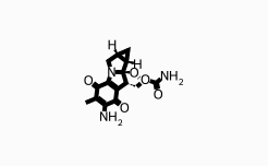 CO[C@@]12[C@H](COC(N)=O)C3=C(C(=O)C(C)=C(N)C3=O)N1C[C@@H]1C[C@@H]12